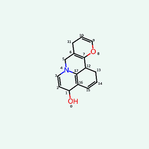 OC1C=CN2CC3=C(OC=CC3)C3CC=CC1=C32